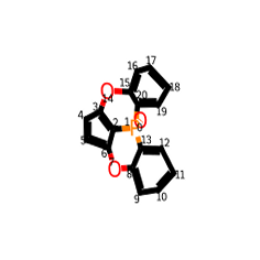 O=P12C3=C(C=C=C3Oc3ccccc31)Oc1ccccc12